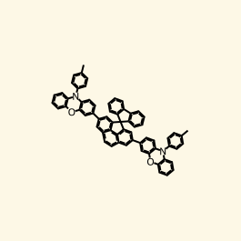 Cc1ccc(N2c3ccccc3Oc3cc(-c4cc5c6c(ccc7cc(-c8ccc9c(c8)Oc8ccccc8N9c8ccc(C)cc8)cc(c76)C56c5ccccc5-c5ccccc56)c4)ccc32)cc1